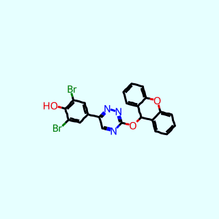 Oc1c(Br)cc(-c2cnc(OC3c4ccccc4Oc4ccccc43)nn2)cc1Br